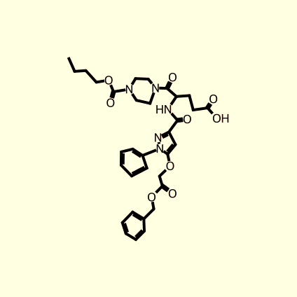 CCCCOC(=O)N1CCN(C(=O)C(CCC(=O)O)NC(=O)c2cc(OCC(=O)OCc3ccccc3)n(-c3ccccc3)n2)CC1